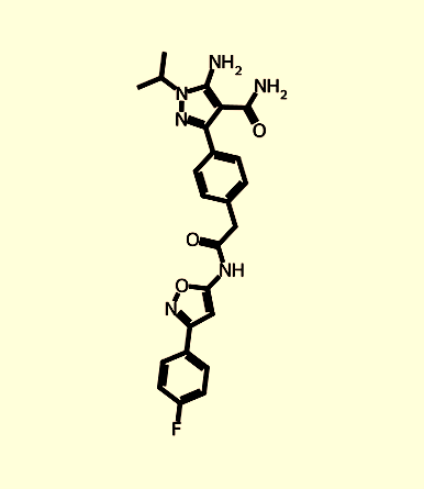 CC(C)n1nc(-c2ccc(CC(=O)Nc3cc(-c4ccc(F)cc4)no3)cc2)c(C(N)=O)c1N